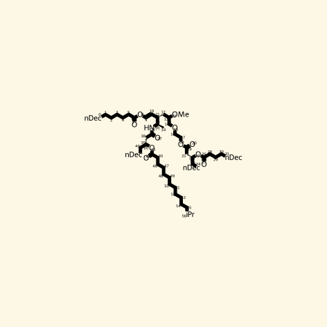 CCCCCCCCCCCCCCCC(=O)OC=C[C@H](CC(COCCOC(=O)C[C@@H](CCCCCCCCCCC)OC(=O)CCCCCCCCCCCCC)OC)[C@@H](C)NC(=O)C[C@@H](CCCCCCCCCCC)OC(=O)CCCCCCCCCCCC(C)C